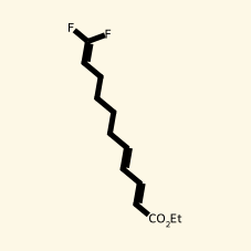 CCOC(=O)C=CC=CCCCCC=C(F)F